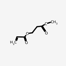 C=CC(=O)OCCC(=O)CC